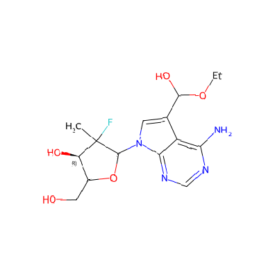 CCOC(O)c1cn(C2OC(CO)[C@@H](O)C2(C)F)c2ncnc(N)c12